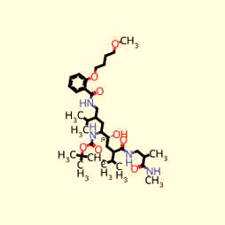 CNC(=O)C(C)CNC(=O)C(C[C@@H](O)C(CC(CNC(=O)c1ccccc1OCCCCOC)C(C)C)NC(=O)OC(C)(C)C)C(C)C